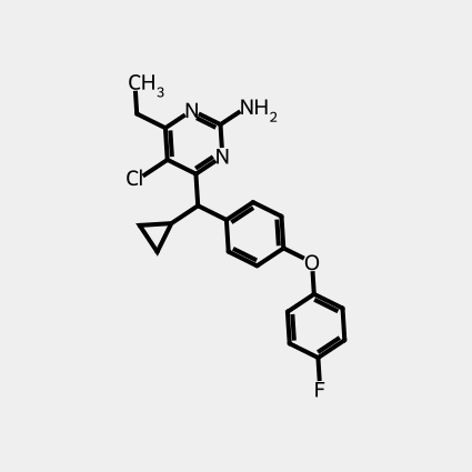 CCc1nc(N)nc(C(c2ccc(Oc3ccc(F)cc3)cc2)C2CC2)c1Cl